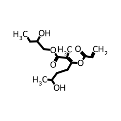 C=CC(=O)OC(CCC(C)O)=C(C)C(=O)OCC(O)CC